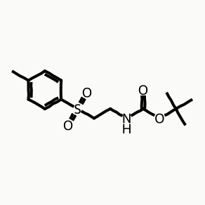 Cc1ccc(S(=O)(=O)CCNC(=O)OC(C)(C)C)cc1